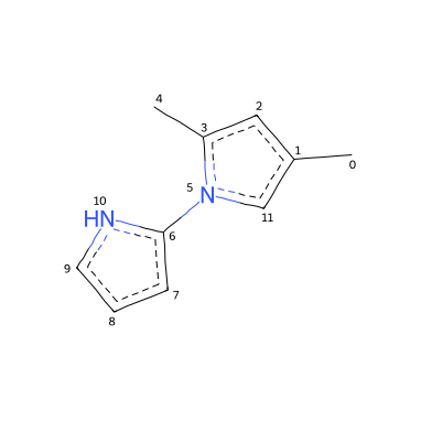 Cc1cc(C)n(-c2ccc[nH]2)c1